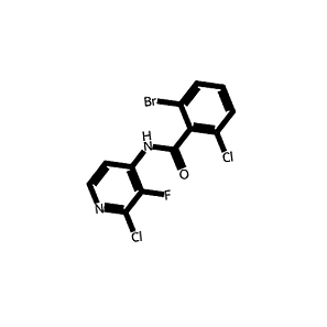 O=C(Nc1ccnc(Cl)c1F)c1c(Cl)cccc1Br